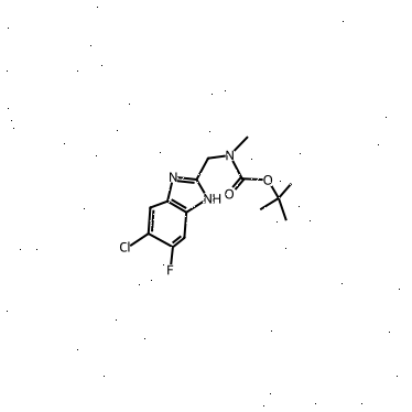 CN(Cc1nc2cc(Cl)c(F)cc2[nH]1)C(=O)OC(C)(C)C